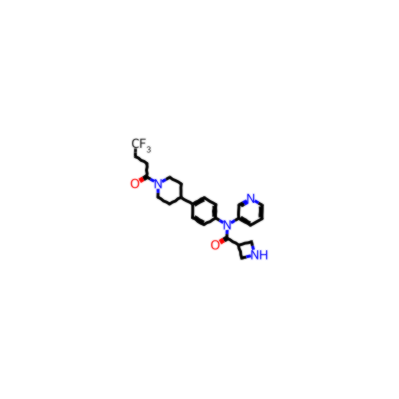 O=C(CCC(F)(F)F)N1CCC(c2ccc(N(C(=O)C3CNC3)c3cccnc3)cc2)CC1